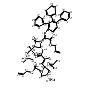 C=CCOC(=O)/C(=P\c1ccc(-c2ccccc2)c(-c2ccccc2)c1-c1ccccc1)N1C(=O)[C@H]([C@@](C)(O[SiH](C)C)C(C)(C)C)[C@H]1CC(=O)/C(C)=C/[C@@]1(O[SiH](C)C)C[C@H](C(C)(C)C)CN1C(=O)OCC=C